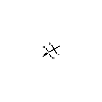 CCC(I)(CC)P(=O)(O)O